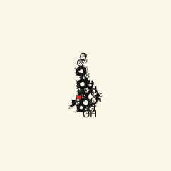 C=C(C)[C@@H]1CC[C@]2(C(=O)O)C[C@@H]3OC(C)(C)O[C@H]4C[C@H]5C(C)(C)C(c6ccc(OC=O)cc6)=CC[C@]5(C)[C@H]5CC[C@H]([C@@H]12)[C@]3(C)[C@]45C